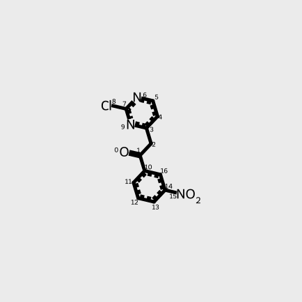 O=C(Cc1ccnc(Cl)n1)c1cccc([N+](=O)[O-])c1